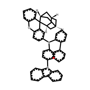 c1ccc(-c2ccccc2N(c2ccc(-n3c4ccccc4c4ccccc43)cc2)c2ccc3c(c2)C2(c4ccccc4O3)[C@H]3C[C@H]4C[C@H](C[C@H]2C4)C3)cc1